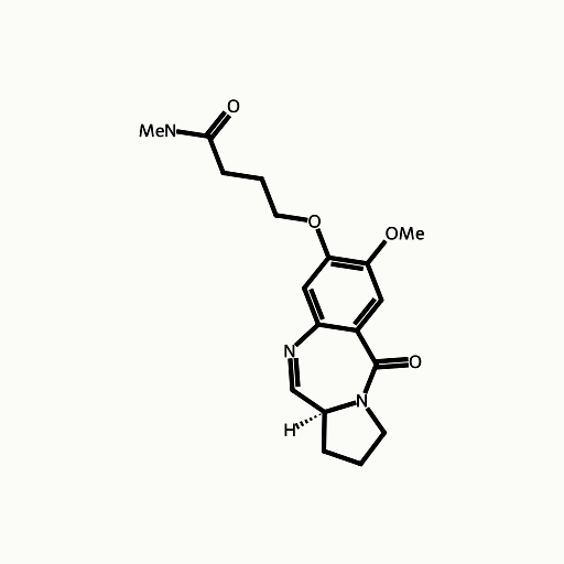 CNC(=O)CCCOc1cc2c(cc1OC)C(=O)N1CCC[C@H]1C=N2